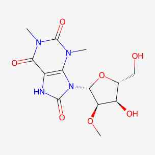 CO[C@@H]1[C@H](O)[C@@H](CO)O[C@H]1n1c(=O)[nH]c2c(=O)n(C)c(=O)n(C)c21